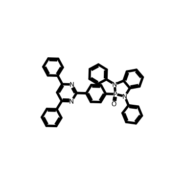 O=P1(c2ccc(-c3nc(-c4ccccc4)cc(-c4ccccc4)n3)cc2)N(c2ccccc2)c2ccccc2N1c1ccccc1